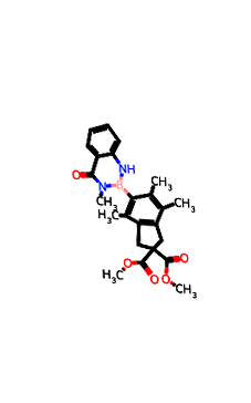 COC(=O)C1(C(=O)OC)Cc2c(C)c(C)c(B3Nc4ccccc4C(=O)N3C)c(C)c2C1